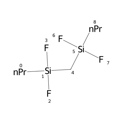 CCC[Si](F)(F)C[Si](F)(F)CCC